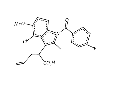 C=CCC(C(=O)O)c1c(C)n(C(=O)c2ccc(F)cc2)c2ccc(OC)c(Cl)c12